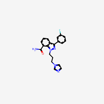 NC(=O)c1cccc2c(-c3cccc(F)c3)nn(CCCn3ccnc3)c12